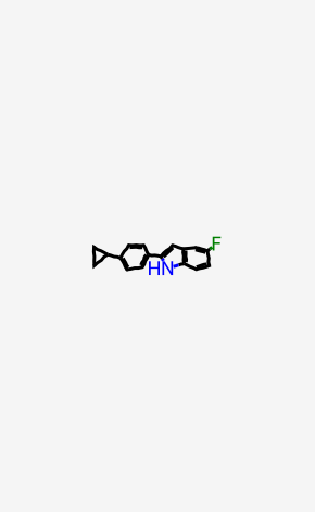 Fc1ccc2[nH]c(-c3ccc(C4CC4)cc3)cc2c1